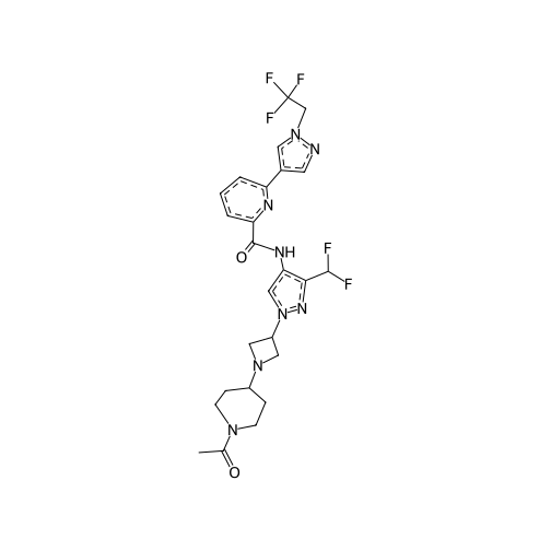 CC(=O)N1CCC(N2CC(n3cc(NC(=O)c4cccc(-c5cnn(CC(F)(F)F)c5)n4)c(C(F)F)n3)C2)CC1